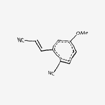 COc1ccc(C#N)c(/C=C/C#N)c1